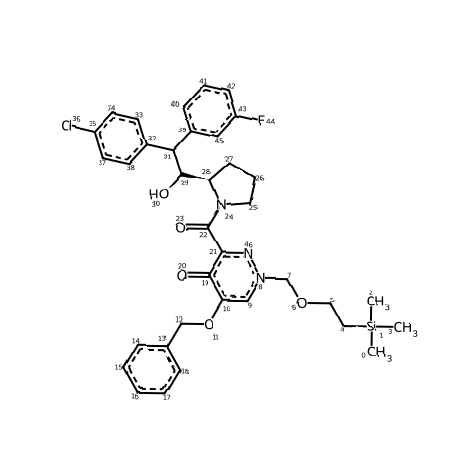 C[Si](C)(C)CCOCn1cc(OCc2ccccc2)c(=O)c(C(=O)N2CCC[C@@H]2C(O)C(c2ccc(Cl)cc2)c2cccc(F)c2)n1